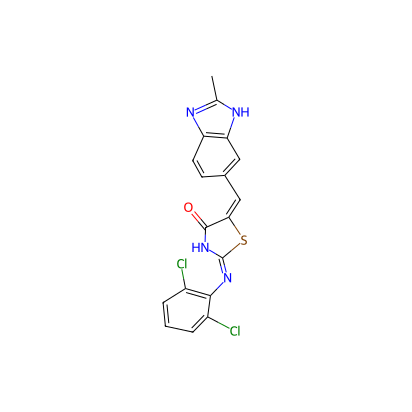 Cc1nc2ccc(C=C3SC(=Nc4c(Cl)cccc4Cl)NC3=O)cc2[nH]1